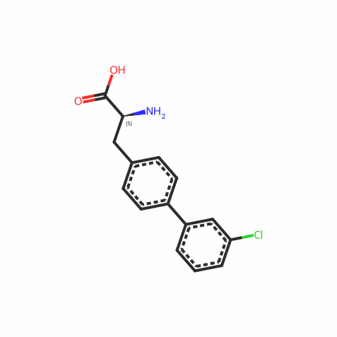 N[C@@H](Cc1ccc(-c2cccc(Cl)c2)cc1)C(=O)O